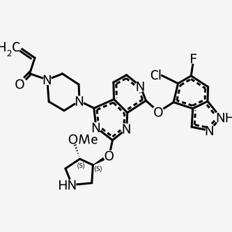 C=CC(=O)N1CCN(c2nc(O[C@H]3CNC[C@@H]3OC)nc3c(Oc4c(Cl)c(F)cc5[nH]ncc45)nccc23)CC1